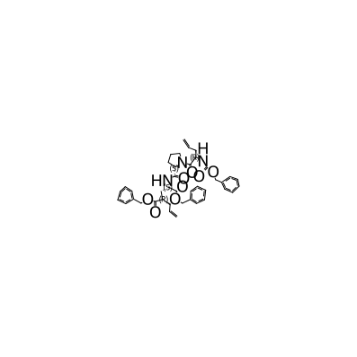 C=CC[C@H](C[C@H](NC(=O)[C@@H]1CCCN1C(=O)[C@@H](CC=C)NC(=O)OCc1ccccc1)C(=O)OCc1ccccc1)C(=O)OCc1ccccc1